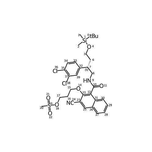 CC(C)(C)[Si](C)(C)OCC[C@H](CNC(=O)c1c(OCCCOS(C)(=O)=O)c(C#N)cc2ccccc12)c1ccc(Cl)c(Cl)c1